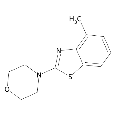 Cc1cccc2sc(N3CCOCC3)nc12